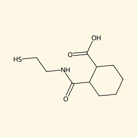 O=C(O)C1CCCCC1C(=O)NCCS